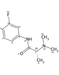 C[C@H](C(=O)Nc1cccc(F)c1)N(C)C